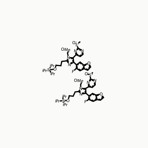 COCn1c(CCCO[Si](C(C)C)(C(C)C)C(C)C)nc(-c2cc3occc3cc2F)c1-c1ccnc([S+](C)[O-])n1.COCn1c(CCCO[Si](C(C)C)(C(C)C)C(C)C)nc(-c2cc3occc3cc2F)c1-c1ccnc([S+](C)[O-])n1